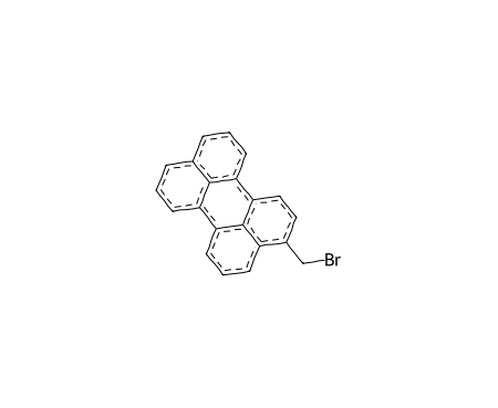 BrCc1ccc2c3cccc4cccc(c5cccc1c52)c43